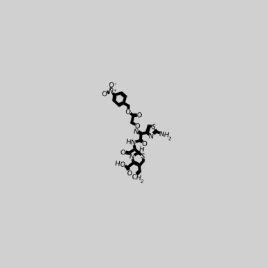 C=CC1=C(C(=O)O)N2C(=O)C(NC(=O)C(=NOCC(=O)OCc3ccc([N+](=O)[O-])cc3)c3csc(N)n3)[C@@H]2SC1